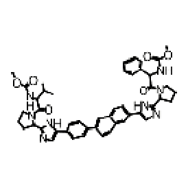 COC(=O)NC(C(=O)N1CCCC1c1ncc(-c2ccc3cc(-c4ccc(-c5cnc(C6CCCN6C(=O)C(NC(=O)OC)C(C)C)[nH]5)cc4)ccc3c2)[nH]1)c1ccccc1